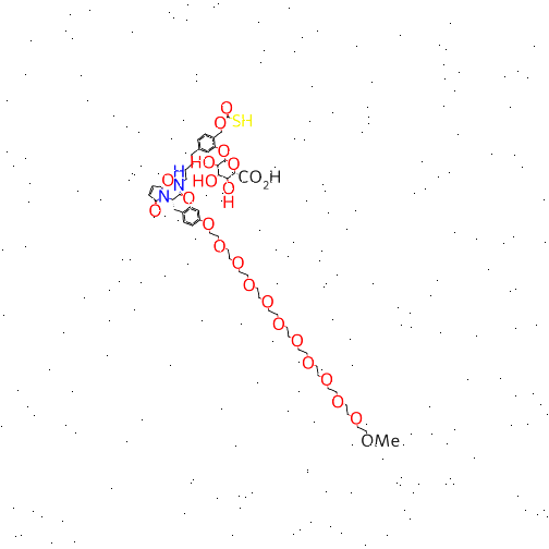 COCCOCCOCCOCCOCCOCCOCCOCCOCCOCCOCCOc1ccc(C[C@@H](C(=O)NCCCCc2ccc(COC(=O)S)c(O[C@@H]3O[C@H](C(=O)O)[C@@H](O)[C@H](O)[C@H]3O)c2)N2C(=O)C=CC2=O)cc1